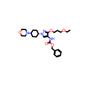 CCOCCCOc1nn([C@H]2CC[C@H](N3CCOCC3)CC2)cc1NC(=O)OCc1ccccc1